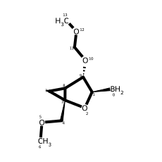 B[C@H]1O[C@]2(COC)CC2[C@@H]1OCOC